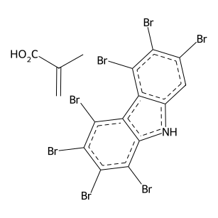 Brc1cc2[nH]c3c(Br)c(Br)c(Br)c(Br)c3c2c(Br)c1Br.C=C(C)C(=O)O